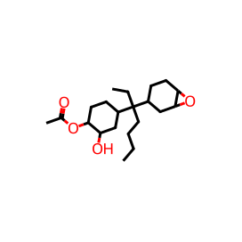 CCCCC(CC)(C1CCC(OC(C)=O)C(O)C1)C1CCC2OC2C1